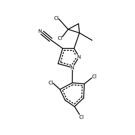 CC1(c2nn(-c3c(Cl)cc(Cl)cc3Cl)cc2C#N)CC1(Cl)Cl